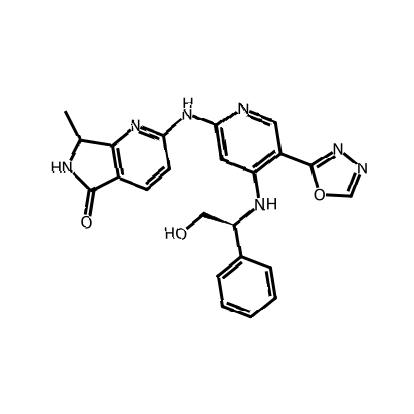 CC1NC(=O)c2ccc(Nc3cc(N[C@H](CO)c4ccccc4)c(-c4nnco4)cn3)nc21